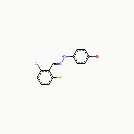 Fc1cccc(Cl)c1/C=N/Nc1ccc(Br)cc1